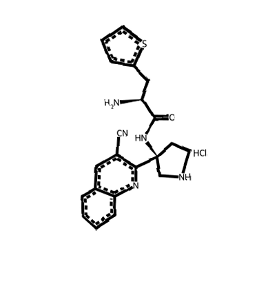 Cl.N#Cc1cc2ccccc2nc1[C@]1(NC(=O)[C@@H](N)Cc2cccs2)CCNC1